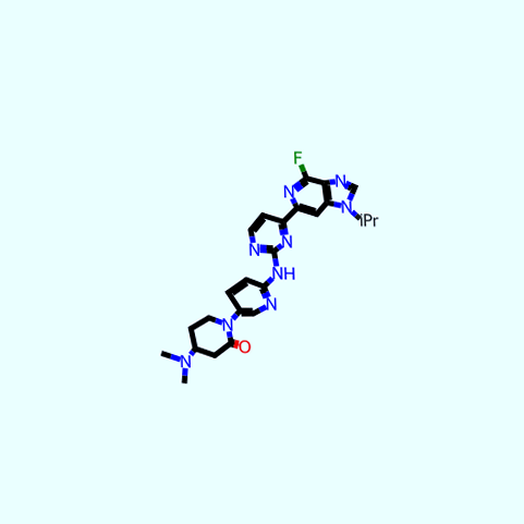 CC(C)n1cnc2c(F)nc(-c3ccnc(Nc4ccc(N5CCC(N(C)C)CC5=O)cn4)n3)cc21